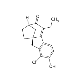 CCC1=C2c3ccc(O)c(Cl)c3C[C@]23CC[C@H](C3)C1=O